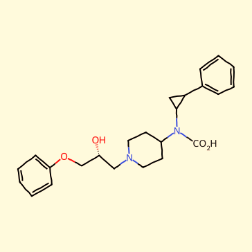 O=C(O)N(C1CCN(C[C@@H](O)COc2ccccc2)CC1)C1CC1c1ccccc1